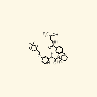 CC1(C)OCC(COc2ccnc(NC(=O)N3c4nc(C(=O)NCC(O)C(F)(F)F)ccc4N4CC[C@H]3C4)c2)O1